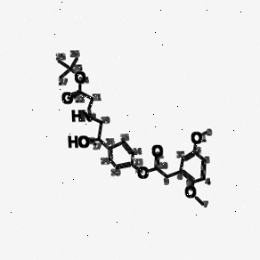 COc1ccc(OC)c(CC(=O)Oc2ccc(C(O)CNCC(=O)OC(C)(C)C)cc2)c1